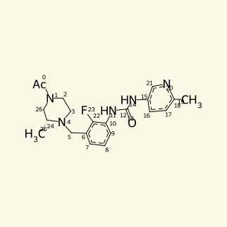 CC(=O)N1CCN(Cc2cccc(NC(=O)Nc3ccc(C)nc3)c2F)[C@H](C)C1